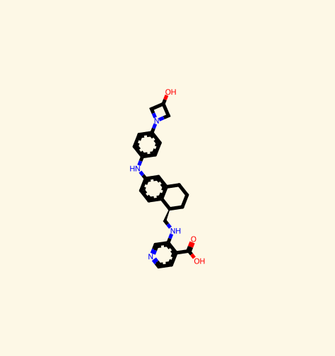 O=C(O)c1ccncc1NC[C@@H]1CCCc2cc(Nc3ccc(N4CC(O)C4)cc3)ccc21